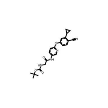 CC(C)(C)OC(=O)NCC(=O)Nc1ccc(Oc2ccc(C#N)c(C3CC3)c2)nc1